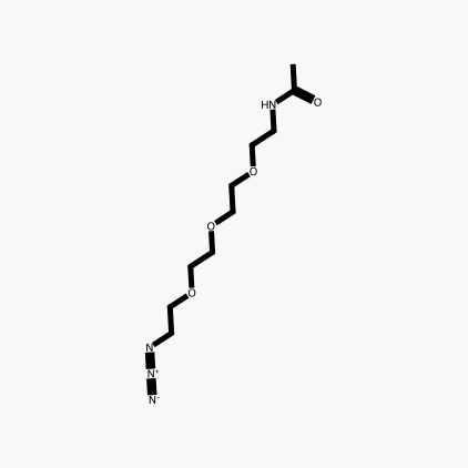 CC(=O)NCCOCCOCCOCCN=[N+]=[N-]